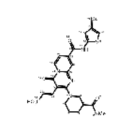 CNC(=O)C1CCCN(c2nc3cc(C(=O)Nc4nc(C(C)(C)C)cs4)ccn3c(=O)c2C=CC(=O)O)C1